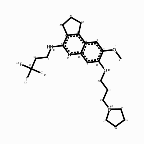 COc1cc2c3c(c(NCCC(F)(F)F)nc2cc1OCCCN1CCCC1)CCC3